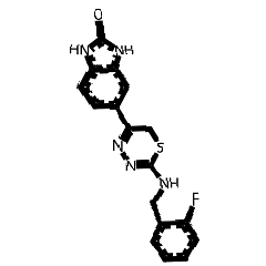 O=c1[nH]c2ccc(C3=NN=C(NCc4ccccc4F)SC3)cc2[nH]1